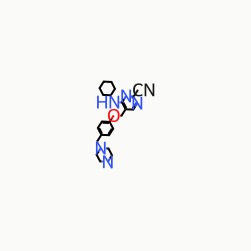 CN1CCN(Cc2ccc(OCc3cnc(C#N)nc3NC3CCCCC3)cc2)CC1